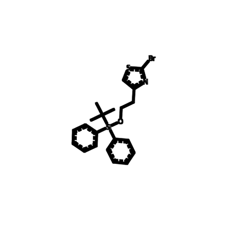 CC(C)(C)[Si](OCCc1csc(Br)n1)(c1ccccc1)c1ccccc1